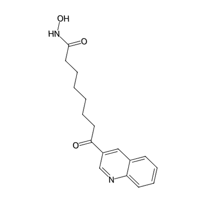 O=C(CCCCCCC(=O)c1cnc2ccccc2c1)NO